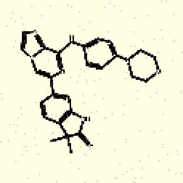 CC1(C)C(=O)Nc2cc(-c3cn4ccnc4c(Nc4ccc(N5CCOCC5)cc4)n3)ccc21